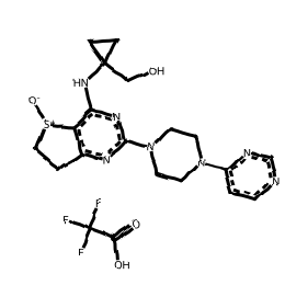 O=C(O)C(F)(F)F.[O-][S+]1CCc2nc(N3CCN(c4ccncn4)CC3)nc(NC3(CO)CC3)c21